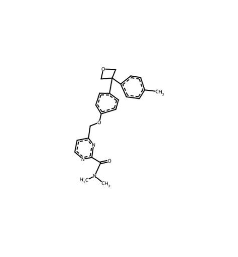 Cc1ccc(C2(c3ccc(OCc4ccnc(C(=O)N(C)C)n4)cc3)COC2)cc1